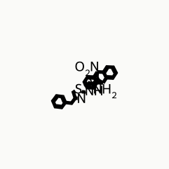 NC1(C(=O)NC2=NC(Cc3ccccc3)CS2)CC2([N+](=O)[O-])c3ccccc3C1c1ccccc12